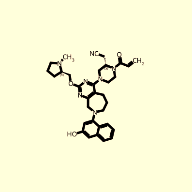 C=CC(=O)N1CCN(c2nc(OC[C@H]3CCCN3C)nc3c2CCCN(c2cc(O)cc4ccccc24)C3)C[C@@H]1CC#N